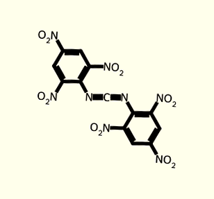 O=[N+]([O-])c1cc([N+](=O)[O-])c(N=C=Nc2c([N+](=O)[O-])cc([N+](=O)[O-])cc2[N+](=O)[O-])c([N+](=O)[O-])c1